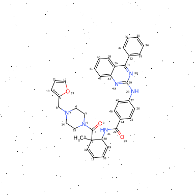 CC1(C(=O)N2CCN(Cc3ccco3)CC2)C=CC=CC1NC(=O)c1ccc(Nc2nc(-c3ccccc3)c3ccccc3n2)cc1